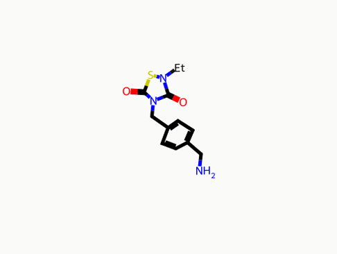 CCn1sc(=O)n(Cc2ccc(CN)cc2)c1=O